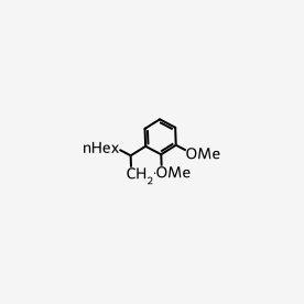 [CH2]C(CCCCCC)c1cccc(OC)c1OC